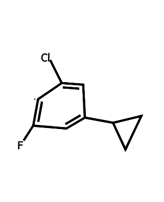 Fc1[c]c(Cl)cc(C2CC2)c1